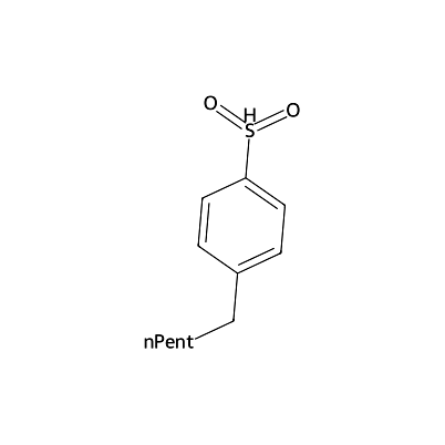 CCCCCCc1ccc([SH](=O)=O)cc1